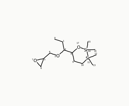 CCC(OCC1CO1)C1CC[Si](C)(C)[Si](C)(C)O1